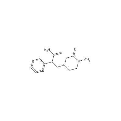 CN1CCN(CC(C(N)=O)c2ccccn2)CC1=O